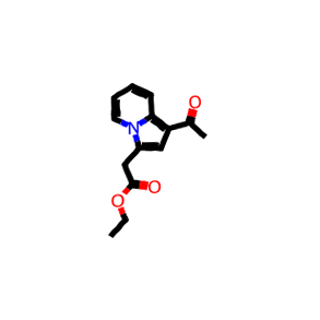 CCOC(=O)Cc1cc(C(C)=O)c2ccccn12